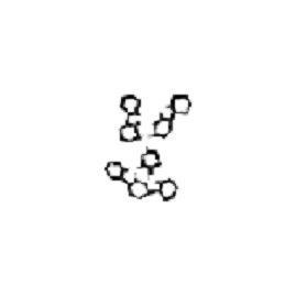 c1ccc2c(c1)oc1cc(N(c3ccc4c(c3)n3c5ccccc5c5ccc6c7ccccc7n4c6c53)c3cccc4c3sc3ccccc34)ccc12